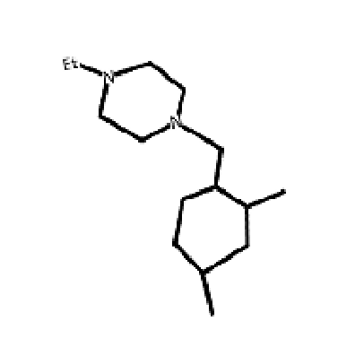 CCN1CCN(CC2CCC(C)CC2C)CC1